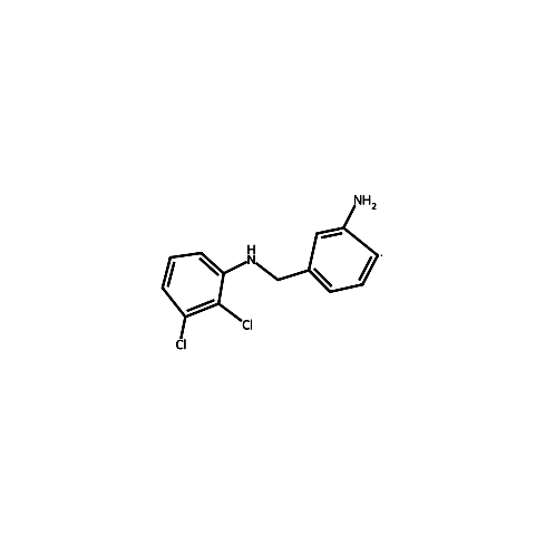 Nc1[c]ccc(CNc2cccc(Cl)c2Cl)c1